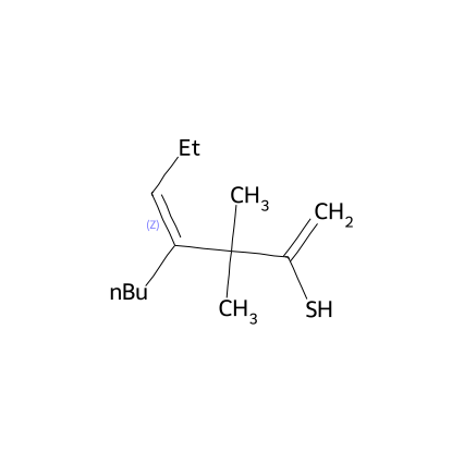 C=C(S)C(C)(C)/C(=C\CC)CCCC